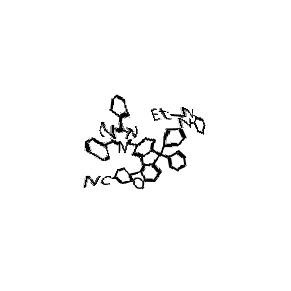 CCc1nc2ccccc2n1-c1ccc(C2(c3ccccc3)c3ccc(-c4nc(-c5ccccc5)nc(-c5ccccc5)n4)cc3-c3c2ccc2oc4cc(C#N)ccc4c32)cc1